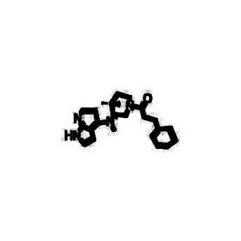 C[C@@H]1CCN(C(=O)CCc2ccccc2)C[C@@H]1N(C)c1ccnc2[nH]ccc12